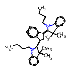 CCCCN1/C(=C2/C/C(=C3/N(CCCC)c4ccccc4C3(C)C)c3ccccc32)C(C)(C)c2ccccc21